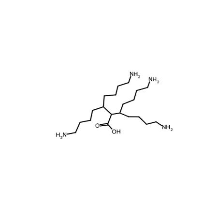 NCCCCC(CCCCN)C(C(=O)O)C(CCCCN)CCCCN